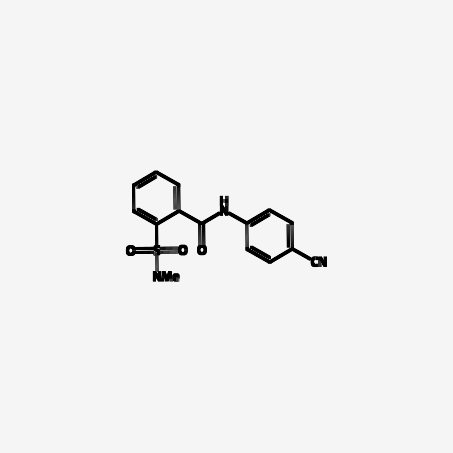 CNS(=O)(=O)c1ccccc1C(=O)Nc1ccc(C#N)cc1